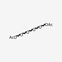 CC(=O)OCCCOCCCOCCCOCCCOCCCOC(C)=O